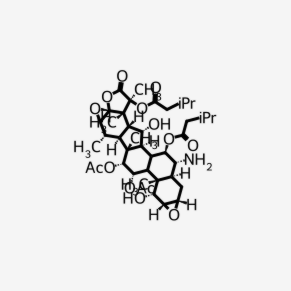 CC(=O)O[C@H]1C2C([C@@H](OC(=O)CC(C)C)[C@H](N)[C@H]3C[C@@H]4O[C@@H]4[C@H](O)[C@]23C)[C@@H]2[C@@H](O)[C@@H]3[C@H]([C@H](C)[C@H]4O[C@]45OC(=O)[C@@](C)(OC(=O)CC(C)C)[C@]35C)[C@@]2(C)[C@H]1OC(C)=O